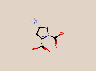 N[C@H]1C[C@@H](C(=O)O)N(C(=O)O)C1